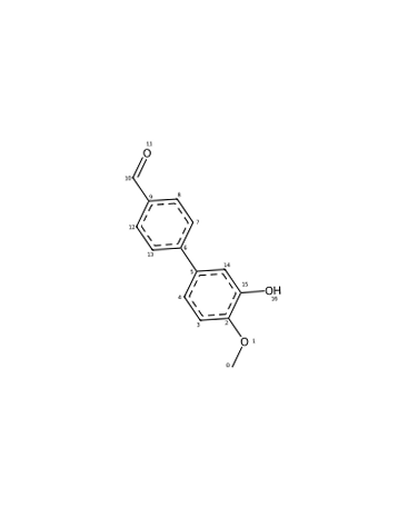 COc1ccc(-c2ccc(C=O)cc2)cc1O